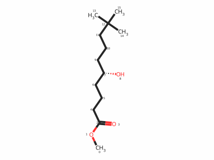 COC(=O)CCC[C@@H](O)CCCC(C)(C)C